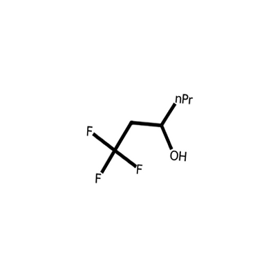 CCCC(O)CC(F)(F)F